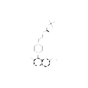 COc1ccc2ncc(C)c(N3CCN(CCNC(=O)OC(C)(C)C)CC3)c2n1